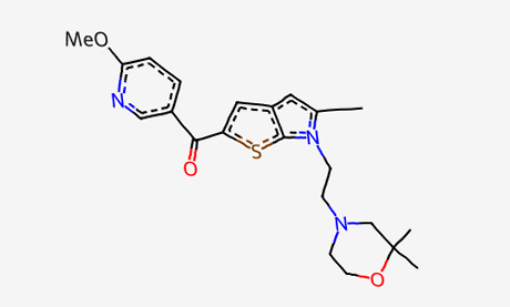 COc1ccc(C(=O)c2cc3cc(C)n(CCN4CCOC(C)(C)C4)c3s2)cn1